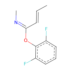 C/C=C/C(=N\C)Oc1c(F)cccc1F